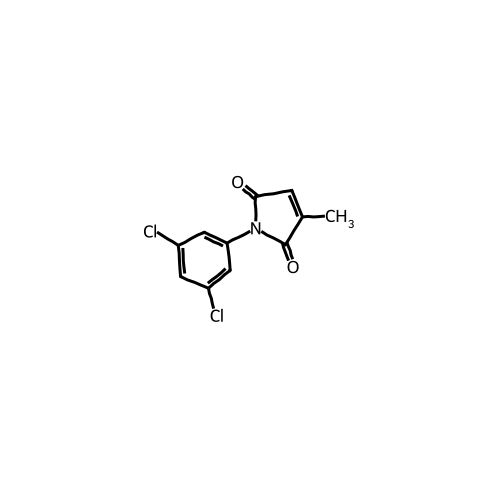 CC1=CC(=O)N(c2cc(Cl)cc(Cl)c2)C1=O